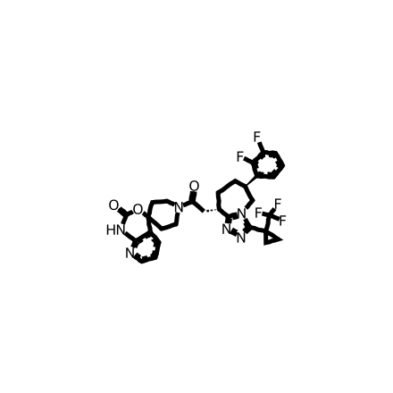 O=C1Nc2ncccc2C2(CCN(C(=O)C[C@@H]3CC[C@@H](c4cccc(F)c4F)Cn4c3nnc4C3(C(F)(F)F)CC3)CC2)O1